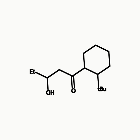 CCC(O)CC(=O)C1CCCCC1C(C)(C)C